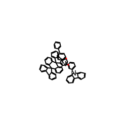 c1ccc(-c2ccc(N(c3cccc(-n4c5ccccc5c5ccccc54)c3)c3cccc4c3C3(c5ccccc5-c5ccccc53)c3ccccc3C43c4ccccc4-c4ccccc43)cc2)cc1